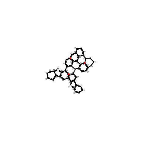 c1ccc(N(c2ccc3oc4ccccc4c3c2)c2ccccc2-c2cccc3cccc(C4CCCCC4)c23)c(-c2cccc3c2oc2ccccc23)c1